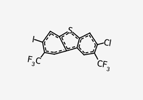 FC(F)(F)c1cc2c(cc1Cl)sc1cc(I)c(C(F)(F)F)cc12